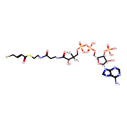 CC(C)(COP(=O)(O)OP(=O)(O)OC[C@H]1O[C@@H](n2cnc3c(N)ncnc32)[C@H](O)[C@@H]1OP(=O)(O)O)[C@@H](O)C(=O)NCCC(=O)NCCSC(=O)C=CCBr